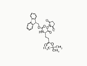 CC(C)(C)OC(=O)CCC(NC(=O)OCC1c2ccccc2-c2ccccc21)C(=O)ON1C(=O)CCC1=O